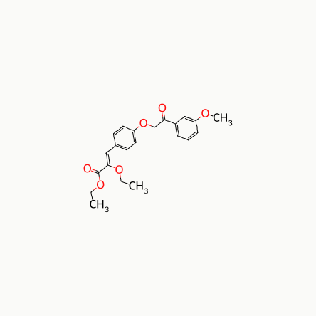 CCOC(=O)/C(=C/c1ccc(OCC(=O)c2cccc(OC)c2)cc1)OCC